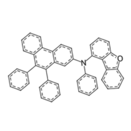 c1ccc(-c2c(-c3ccccc3)c3cc(N(c4ccccc4)c4cccc5oc6ccccc6c45)ccc3c3ccccc23)cc1